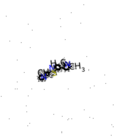 Cc1ccc(-c2ccc3nc([C@H]4C[C@H](N5CCC[C@@H]5C)C4)sc3c2)c(C)n1